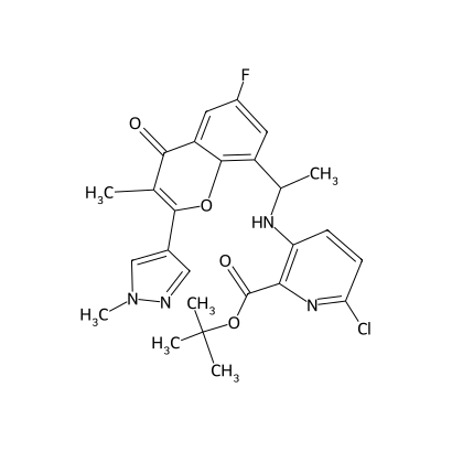 Cc1c(-c2cnn(C)c2)oc2c(C(C)Nc3ccc(Cl)nc3C(=O)OC(C)(C)C)cc(F)cc2c1=O